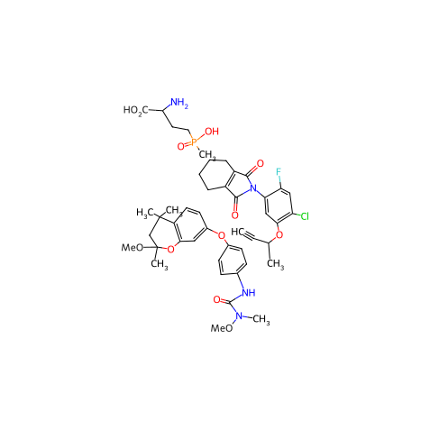 C#CC(C)Oc1cc(N2C(=O)C3=C(CCCC3)C2=O)c(F)cc1Cl.CON(C)C(=O)Nc1ccc(Oc2ccc3c(c2)OC(C)(OC)CC3(C)C)cc1.CP(=O)(O)CCC(N)C(=O)O